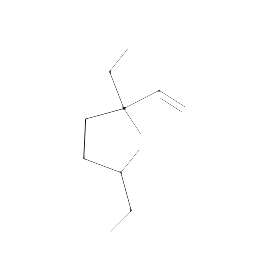 O=CC1(CO)CCC(CO)O1